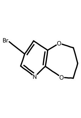 Brc1cnc2c(c1)OCCCO2